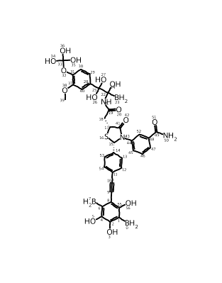 Bc1c(O)c(O)c(B)c(C#Cc2ccc([C@@H]3S[C@H](CC(=O)NC(B)(O)C(O)(O)c4ccc(OC(O)(O)O)c(OC)c4)C(=O)N3c3cccc(C(N)=O)c3)cc2)c1O